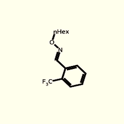 CCCCCCO/N=[C]/c1ccccc1C(F)(F)F